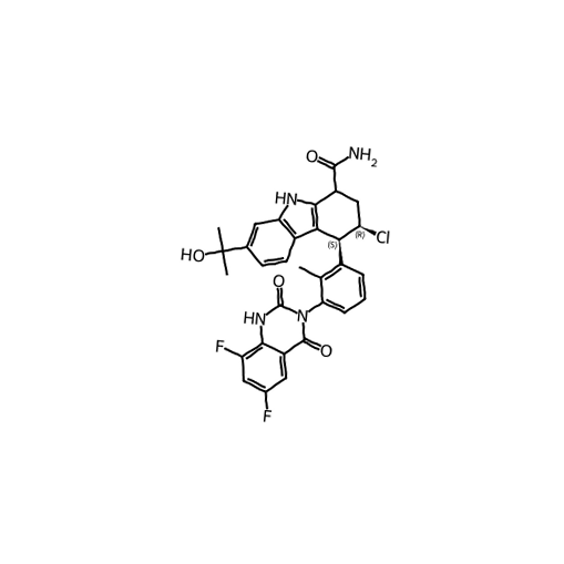 Cc1c([C@H]2c3c([nH]c4cc(C(C)(C)O)ccc34)C(C(N)=O)C[C@H]2Cl)cccc1-n1c(=O)[nH]c2c(F)cc(F)cc2c1=O